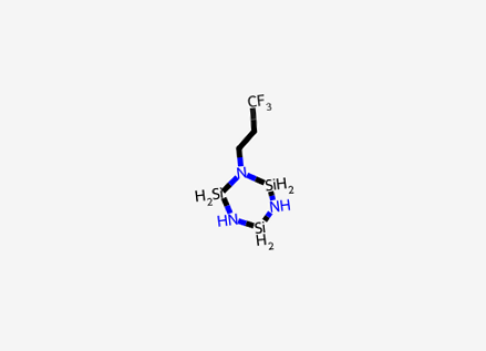 FC(F)(F)CCN1[SiH2]N[SiH2]N[SiH2]1